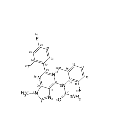 Cn1cnc2c(N(C(N)=O)c3c(F)cccc3F)nc(-c3ccc(F)cc3F)nc21